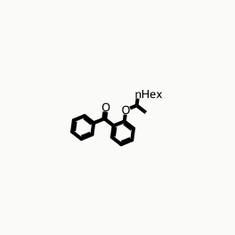 CCCCCCC(C)Oc1ccccc1C(=O)c1ccccc1